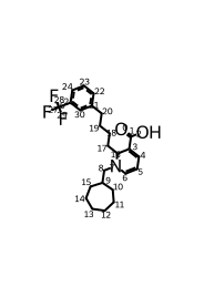 O=C(O)C1=CC=CN(CC2CCCCCC2)C1CCCCc1cccc(C(F)(F)F)c1